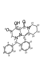 O=C1CN(C(c2ccccc2)c2ccccc2)N2C=C3CCCCN3C(=O)C2=C1O